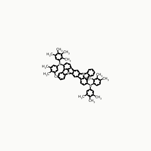 Cc1cc(N(c2ccc(C)c(C)c2C)c2ccc3c4cc5c(cc4n4c6ccccc6c2c34)c2ccc(N(c3cc(C)c(C)c(C)c3)c3cc(C)c(C)c(C)c3C)c3c4ccccc4n5c23)cc(C)c1C